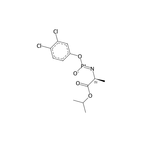 CC(C)OC(=O)[C@H](C)N=[P+]([O-])Oc1ccc(Cl)c(Cl)c1